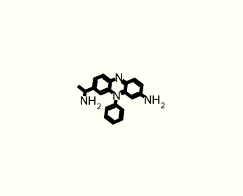 CC(N)c1ccc2nc3ccc(N)cc3[n+](-c3ccccc3)c2c1